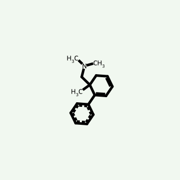 CN(C)CC1(C)CC=CC=C1c1ccccc1